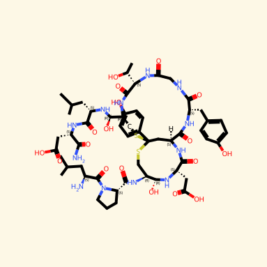 CC(C)C[C@H](N[C@H](O)[C@@H]1CSC2(c3ccc(O)cc3)C[C@H](NC(=O)[C@H](CC(=O)O)N[C@H](O)[C@@H](NC(=O)[C@@H]3CCCN3C(=O)[C@@H](N)CC(C)C)CS2)C(=O)N[C@@H](Cc2ccc(O)cc2)C(=O)NCC(=O)N[C@@H](C(C)O)C(=O)N1)C(=O)N[C@@H](CC(=O)O)C(N)=O